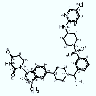 CC(c1cccc(S(=O)(=O)N2CCC(Nc3ncc(Cl)cn3)CC2)c1)N1CCC(c2ccc3c(N4CCC(=O)NC4=O)nn(C)c3c2)CC1